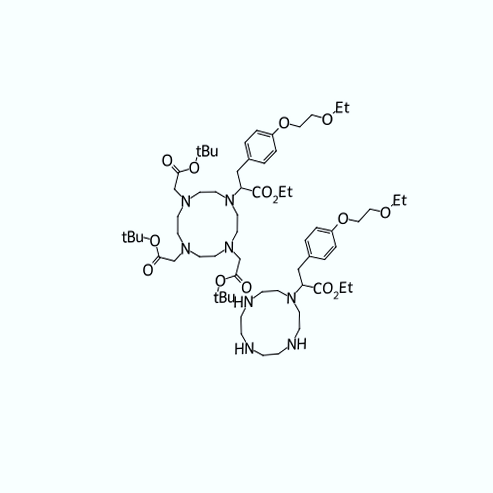 CCOCCOc1ccc(CC(C(=O)OCC)N2CCN(CC(=O)OC(C)(C)C)CCN(CC(=O)OC(C)(C)C)CCN(CC(=O)OC(C)(C)C)CC2)cc1.CCOCCOc1ccc(CC(C(=O)OCC)N2CCNCCNCCNCC2)cc1